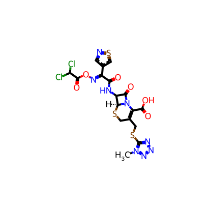 Cn1nnnc1SCC1=C(C(=O)O)N2C(=O)C(NC(=O)C(=NOC(=O)C(Cl)Cl)c3cnsc3)[C@@H]2SC1